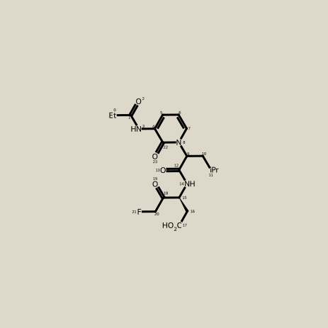 CCC(=O)Nc1cccn(C(CC(C)C)C(=O)N[C@@H](CC(=O)O)C(=O)CF)c1=O